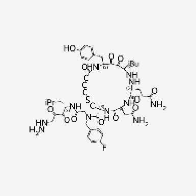 CC[C@H](C)C1NN[C@@H](CCC(N)=O)C(=O)N[C@@H](CC(N)=O)C(=O)N[C@H](C(=O)N(CC(=O)N[C@@H](CC(C)C)C(=O)C(=O)CNN)Cc2ccc(F)cc2)CSCCCC(=O)N[C@@H](Cc2ccc(O)cc2)C(=O)C1=O